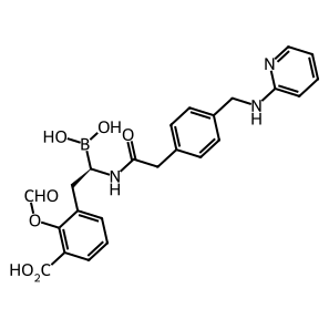 O=COc1c(C[C@H](NC(=O)Cc2ccc(CNc3ccccn3)cc2)B(O)O)cccc1C(=O)O